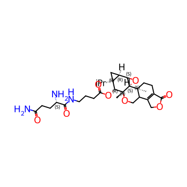 CC(C)[C@]12C[C@H]1[C@@H]1O[C@@]13[C@@]1(C)CCC4=C(COC4=O)C1CO[C@]3(C)[C@@H]2OC(=O)CCCNC(=O)[C@@H](N)CCC(N)=O